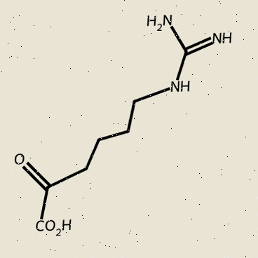 N=C(N)NCCCCC(=O)C(=O)O